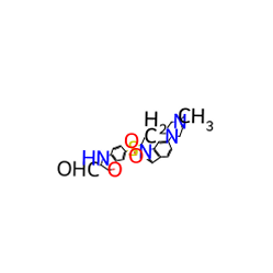 C=CC(n1ccc2ccc(N3CCN(C)CC3)cc21)S(=O)(=O)c1ccc2c(c1)OCC(C=O)N2